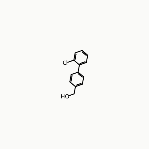 OCc1ccc(-c2ccccc2Cl)cc1